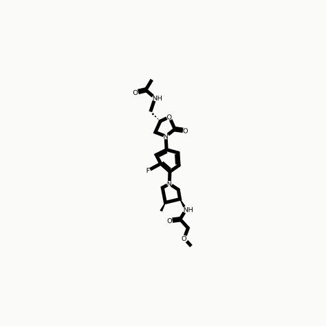 COCC(=O)N[C@@H]1CN(c2ccc(N3C[C@H](CNC(C)=O)OC3=O)cc2F)C[C@@H]1C